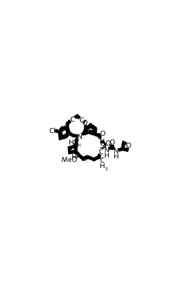 CO[C@H]1/C=C/C[C@H](C)CS(=O)(NC(=O)NC2COC2)=NC(=O)c2ccc3c(c2)N(Cc2ccc(Cl)cc2CCCCO3)C[C@@H]2CC[C@H]21